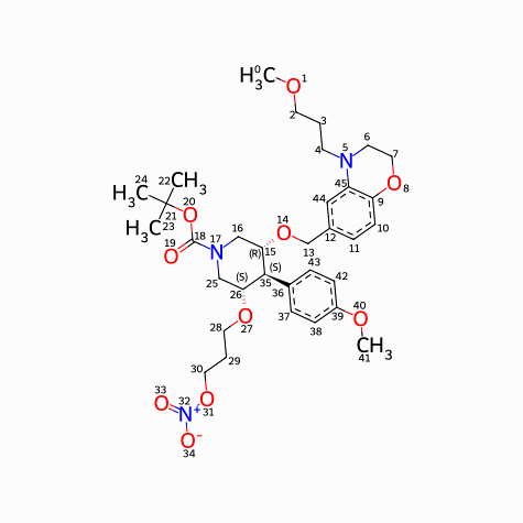 COCCCN1CCOc2ccc(CO[C@H]3CN(C(=O)OC(C)(C)C)C[C@@H](OCCCO[N+](=O)[O-])[C@@H]3c3ccc(OC)cc3)cc21